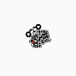 O=P(O)(O)C(N(CCN(C(P(=O)(O)O)P(=O)(O)O)C(P(=O)(O)O)P(=O)(O)O)C(P(=O)(O)O)P(=O)(O)O)P(=O)(O)O.S=C(S)N(Cc1ccccc1)Cc1ccccc1